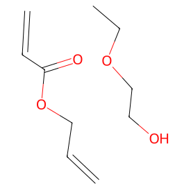 C=CCOC(=O)C=C.CCOCCO